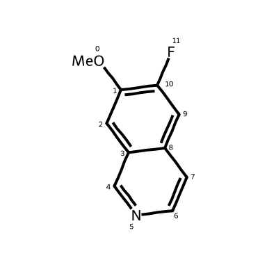 COc1cc2cnccc2cc1F